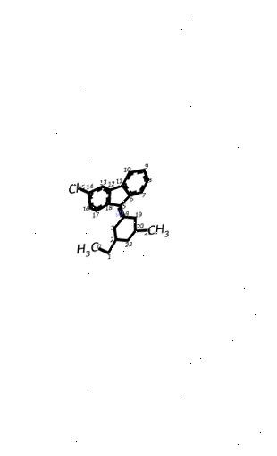 CCC1C/C(=C2/c3ccccc3-c3cc(Cl)ccc32)CC(C)C1